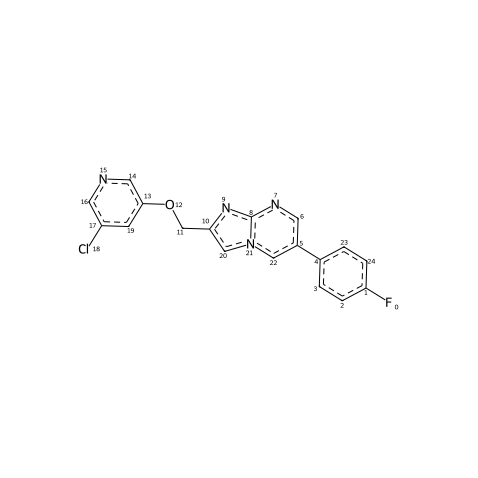 Fc1ccc(-c2cnc3nc(COc4cncc(Cl)c4)cn3c2)cc1